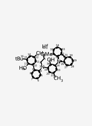 COCCN(c1ccccc1-c1cc(C)cc(C(C)(C)C)c1O)c1cc(C)cc(-n2c3ccccc3c3ccccc32)c1O.[Hf]